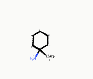 NC1([C]=O)CCCCC1